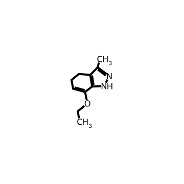 CCOC1=CCCc2c(C)n[nH]c21